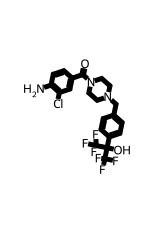 Nc1ccc(C(=O)N2CCN(Cc3ccc(C(O)(C(F)(F)F)C(F)(F)F)cc3)CC2)cc1Cl